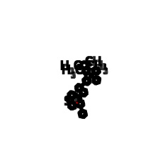 CC1(C)CCC(C)(C)c2cc3c(cc21)-c1cc(-c2cccc4c(N(c5ccc(-c6ccccc6)cc5)c5cccc6sc7ccccc7c56)cccc24)ccc1C3(c1ccccc1)c1ccccc1